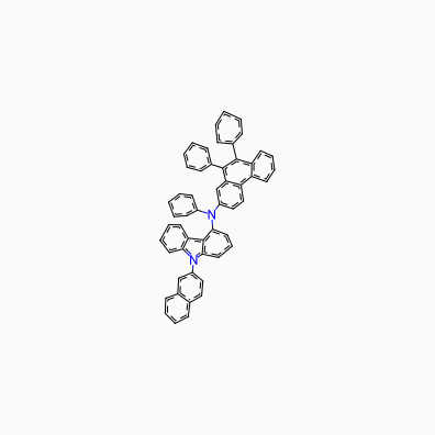 c1ccc(-c2c(-c3ccccc3)c3cc(N(c4ccccc4)c4cccc5c4c4ccccc4n5-c4ccc5ccccc5c4)ccc3c3ccccc23)cc1